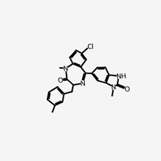 Cc1cccc(CC2N=C(c3ccc4[nH]c(=O)n(C)c4c3)c3cc(Cl)ccc3N(C)C2=O)c1